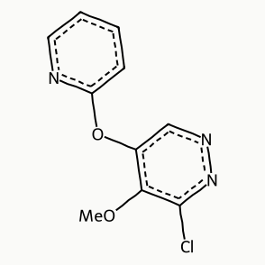 COc1c(Oc2ccccn2)cnnc1Cl